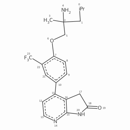 CC(C)CC(C)(N)COc1ccc(-c2ccnc3c2CC(=O)N3)cc1C(F)(F)F